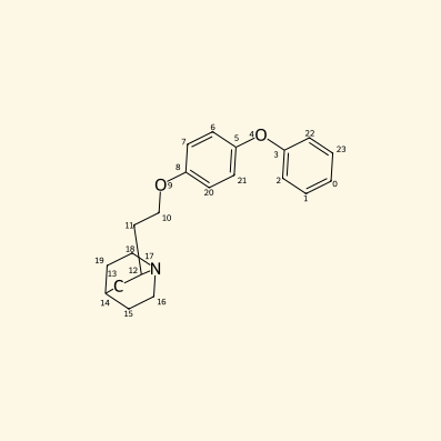 c1ccc(Oc2ccc(OCCC3CC4CCN3CC4)cc2)cc1